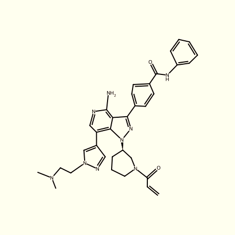 C=CC(=O)N1CCC[C@@H](n2nc(-c3ccc(C(=O)Nc4ccccc4)cc3)c3c(N)ncc(-c4cnn(CCN(C)C)c4)c32)C1